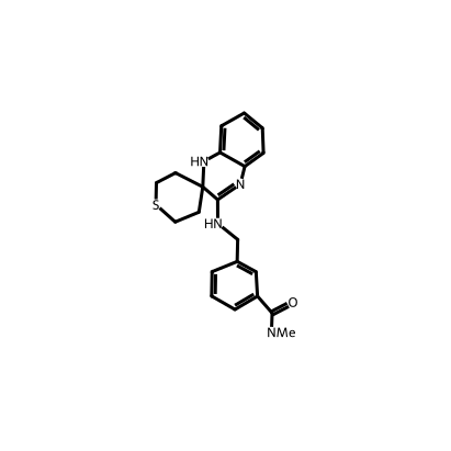 CNC(=O)c1cccc(CNC2=Nc3ccccc3NC23CCSCC3)c1